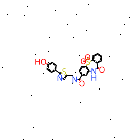 CN(Cc1cnc(-c2ccc(O)cc2)s1)C(=O)c1ccc2c(c1)NC(=O)c1ccccc1S2(=O)=O